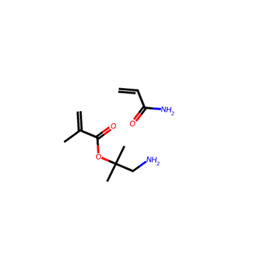 C=C(C)C(=O)OC(C)(C)CN.C=CC(N)=O